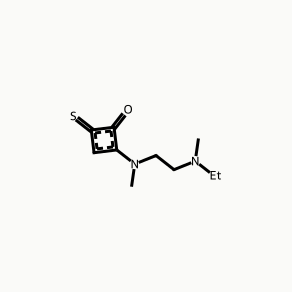 CCN(C)CCN(C)c1cc(=S)c1=O